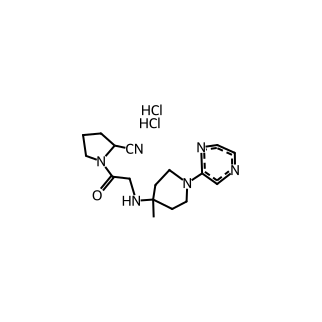 CC1(NCC(=O)N2CCCC2C#N)CCN(c2cnccn2)CC1.Cl.Cl